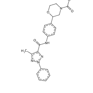 Cc1nn(-c2ccccc2)nc1C(=O)Nc1ccc(C2CN(C(=O)OC(C)(C)C)CCO2)cc1